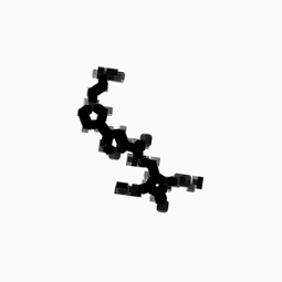 CNCCN1CCC(c2cc(C(=O)NCC3C(NC)C(=O)N3S(=O)(=O)O)on2)C1